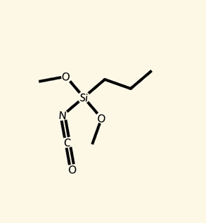 CCC[Si](N=C=O)(OC)OC